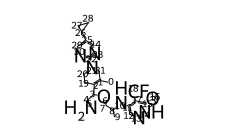 CC1=C(C(CN)OCC(C)Nc2cn[nH]c(=O)c2C(F)(F)F)CCN(c2ncc(C3CC3)cn2)C1